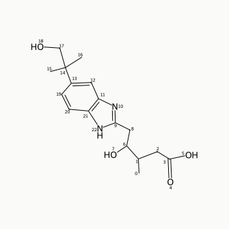 CC(CC(=O)O)C(O)Cc1nc2cc(C(C)(C)CO)ccc2[nH]1